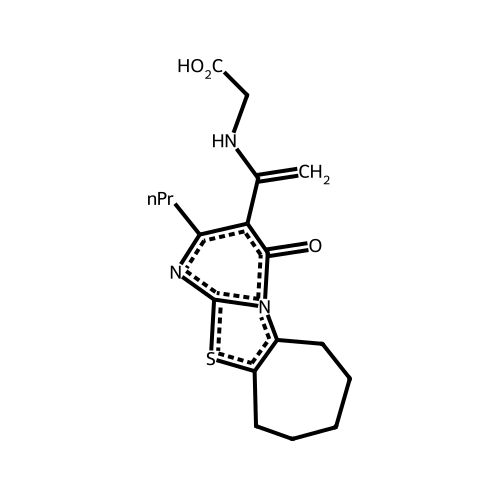 C=C(NCC(=O)O)c1c(CCC)nc2sc3c(n2c1=O)CCCCC3